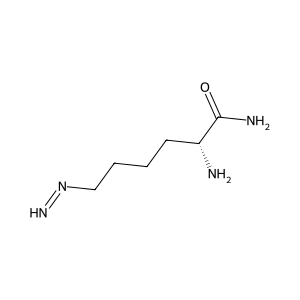 N=NCCCC[C@@H](N)C(N)=O